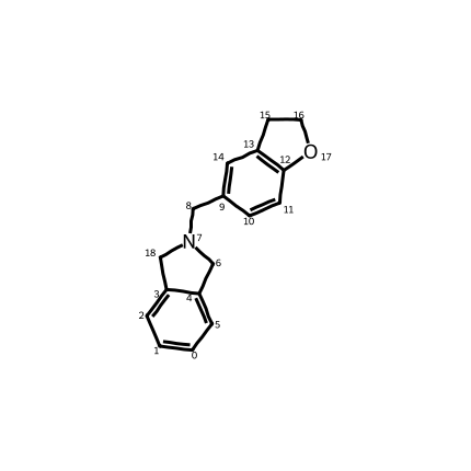 c1ccc2c(c1)CN(Cc1ccc3c(c1)CCO3)C2